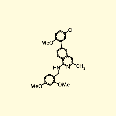 COc1ccc(CNc2nc(C)cc3cc(-c4cc(Cl)ccc4OC)ccc23)c(OC)c1